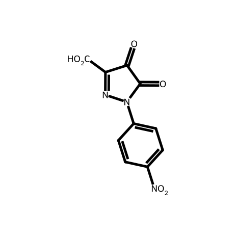 O=C(O)C1=NN(c2ccc([N+](=O)[O-])cc2)C(=O)C1=O